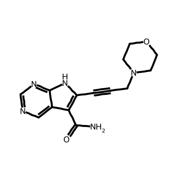 NC(=O)c1c(C#CCN2CCOCC2)[nH]c2ncncc12